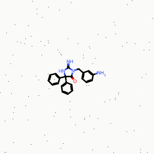 N=C1NC(c2ccccc2)(c2ccccc2)C(=O)N1Cc1cccc(N)c1